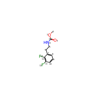 COC(=O)NCCc1cccc(F)c1F